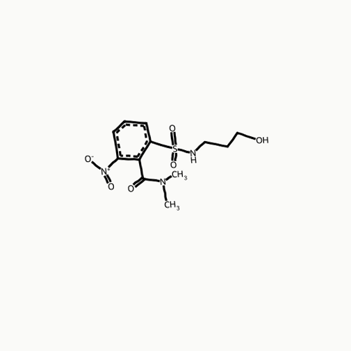 CN(C)C(=O)c1c([N+](=O)[O-])cccc1S(=O)(=O)NCCCO